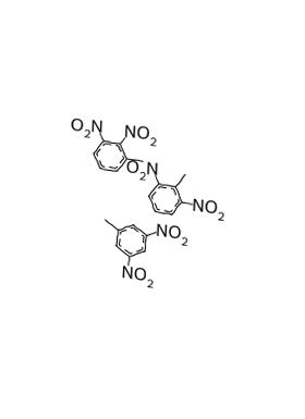 Cc1c([N+](=O)[O-])cccc1[N+](=O)[O-].Cc1cc([N+](=O)[O-])cc([N+](=O)[O-])c1.Cc1cccc([N+](=O)[O-])c1[N+](=O)[O-]